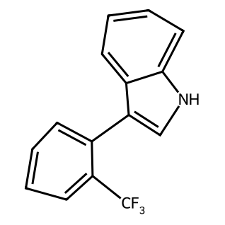 FC(F)(F)c1ccccc1-c1c[nH]c2ccccc12